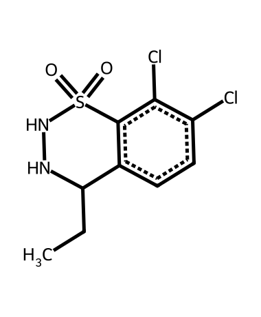 CCC1NNS(=O)(=O)c2c1ccc(Cl)c2Cl